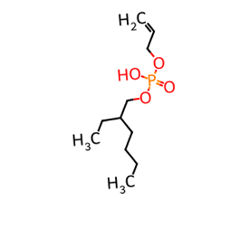 C=CCOP(=O)(O)OCC(CC)CCCC